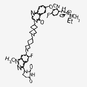 CCN(C)S(=O)(=O)Nc1ccc(F)c(Oc2ccc3ncn(C4CC5(C4)CN(C4CC6(C4)CN(c4cc7c(cc4F)c(N4CCC(=O)NC4=O)nn7C)C6)C5)c(=O)c3c2)c1C#N